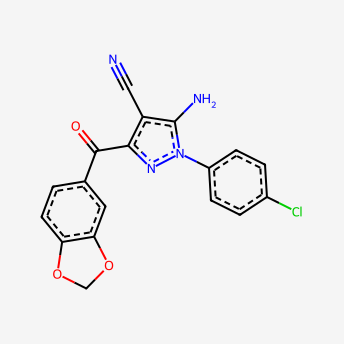 N#Cc1c(C(=O)c2ccc3c(c2)OCO3)nn(-c2ccc(Cl)cc2)c1N